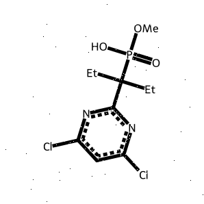 CCC(CC)(c1nc(Cl)cc(Cl)n1)P(=O)(O)OC